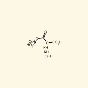 O=C(O)OC(=O)OC(=O)O.[CsH].[CsH].[KH].[KH]